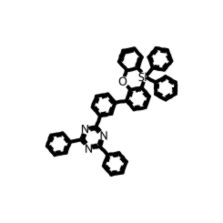 C1=CC=C2C(C=1)Oc1c(-c3cccc(-c4nc(-c5ccccc5)nc(-c5ccccc5)n4)c3)cccc1[Si]2(c1ccccc1)c1ccccc1